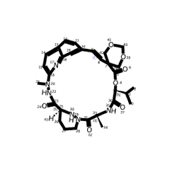 CC(C)[C@@H]1OC(=O)C2(/C=C/c3ccc4ccc(nc4c3)N(C)NC(=O)[C@@H]3CCCN(N3)C(=O)[C@H](C)NC1=O)COCOC2